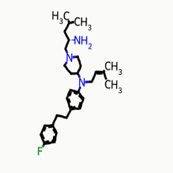 CC(C)=CCN(c1ccc(CCc2ccc(F)cc2)cc1)C1CCN(C[C@@H](N)CC(C)C)CC1